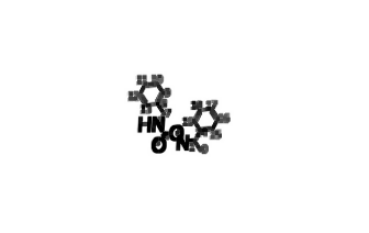 C/C(=N/OC(=O)NCc1ccccc1)c1ccccc1